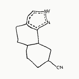 N#CC1CCC2CCc3c[nH]nc3C2C1